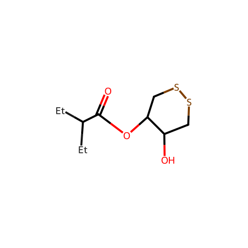 CCC(CC)C(=O)OC1CSSCC1O